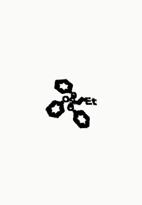 CC/C=C/[Si](Oc1ccccc1)(Oc1ccccc1)Oc1ccccc1